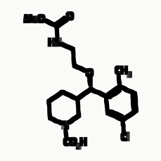 COC(=O)NCCO[C@@H](c1cc(Cl)ccc1C)C1CCCN(C(=O)O)C1